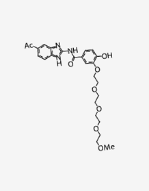 COCCOCCOCCOCCOc1cc(C(=O)Nc2nc3cc(C(C)=O)ccc3[nH]2)ccc1O